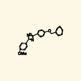 COc1ccc(-c2noc(-c3ccc(OCc4ccccc4)cc3)n2)cc1